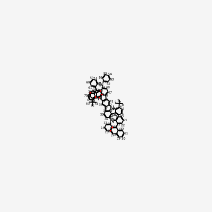 CC(C)(C)c1cccc2c3c(N(c4ccccc4)c4ccccc4-c4cccc5ccccc45)ccc4c5cc6c(cc5n(c12)c43)c1ccc(N(c2ccccc2)c2ccccc2-c2cccc3ccccc23)c2c3cccc(C(C)(C)C)c3n6c12